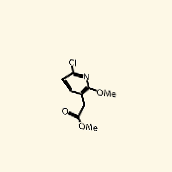 COC(=O)Cc1ccc(Cl)nc1OC